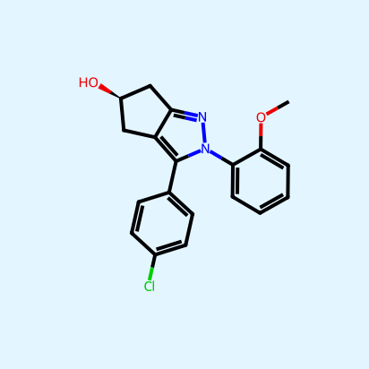 COc1ccccc1-n1nc2c(c1-c1ccc(Cl)cc1)C[C@@H](O)C2